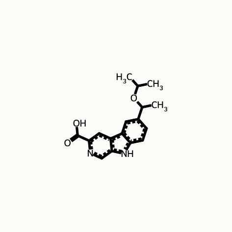 CC(C)OC(C)c1ccc2[nH]c3cnc(C(=O)O)cc3c2c1